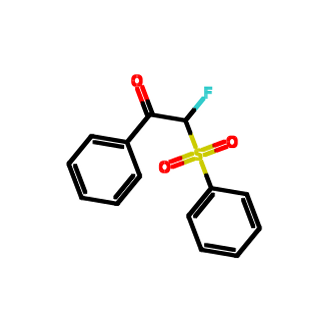 O=C(c1ccccc1)C(F)S(=O)(=O)c1ccccc1